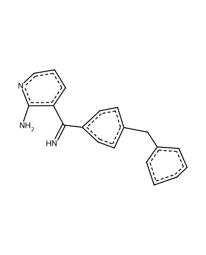 N=C(c1ccc(Cc2ccccc2)cc1)c1cccnc1N